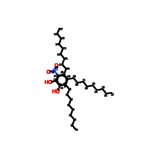 CCCCCCCCCc1c(O)c(O)c([N+](=O)[O-])c(CCCCCCCCC)c1CCCCCCCCC